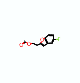 O=[C]OCCc1cc2cc(F)ccc2o1